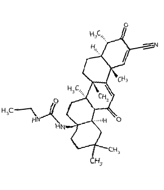 CCNC(=O)N[C@]12CCC(C)(C)C[C@@H]1C1C(=O)C=C3[C@@]4(C)C=C(C#N)C(=O)[C@@H](C)[C@@H]4CC[C@@]3(C)[C@]1(C)CC2